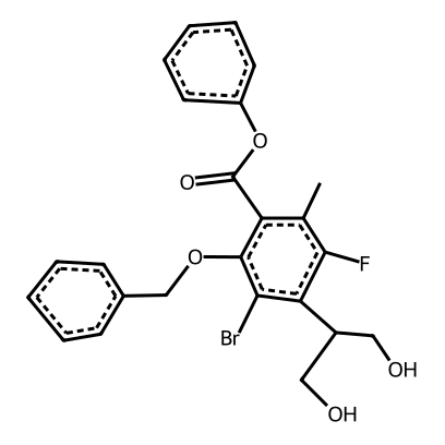 Cc1c(F)c(C(CO)CO)c(Br)c(OCc2ccccc2)c1C(=O)Oc1ccccc1